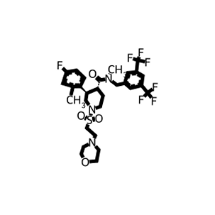 Cc1cc(F)ccc1[C@@H]1CN(S(=O)(=O)CCN2CCOCC2)CC[C@H]1C(=O)N(C)Cc1cc(C(F)(F)F)cc(C(F)(F)F)c1